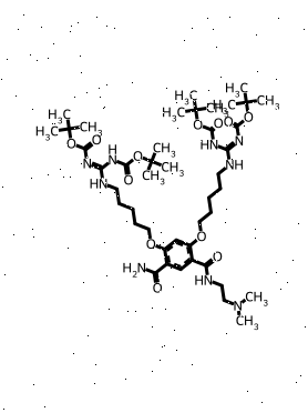 CN(C)CCNC(=O)c1cc(C(N)=O)c(OCCCCCN/C(=N/C(=O)OC(C)(C)C)NC(=O)OC(C)(C)C)cc1OCCCCCN/C(=N/C(=O)OC(C)(C)C)NC(=O)OC(C)(C)C